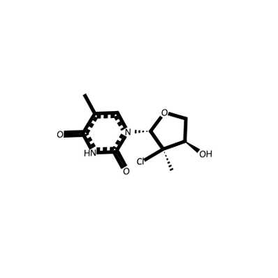 Cc1cn([C@@H]2OC[C@@H](O)[C@@]2(C)Cl)c(=O)[nH]c1=O